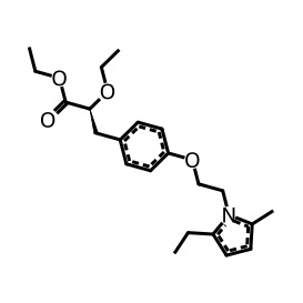 CCOC(=O)[C@H](Cc1ccc(OCCn2c(C)ccc2CC)cc1)OCC